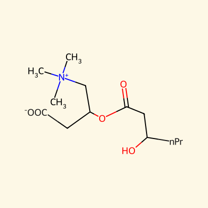 CCCC(O)CC(=O)OC(CC(=O)[O-])C[N+](C)(C)C